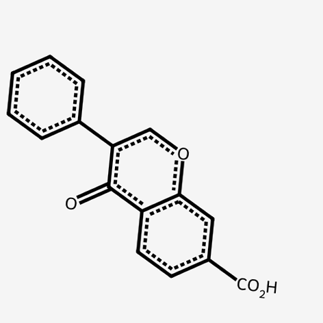 O=C(O)c1ccc2c(=O)c(-c3ccccc3)coc2c1